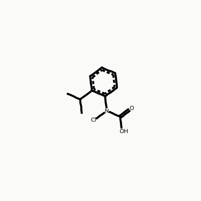 CC(C)c1ccccc1N(Cl)C(=O)O